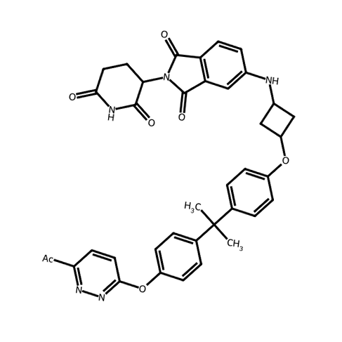 CC(=O)c1ccc(Oc2ccc(C(C)(C)c3ccc(OC4CC(Nc5ccc6c(c5)C(=O)N(C5CCC(=O)NC5=O)C6=O)C4)cc3)cc2)nn1